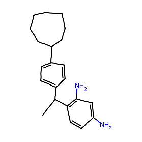 CC(c1ccc(C2CCCCCCC2)cc1)c1ccc(N)cc1N